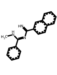 CN/C(=N\C(=N)c1ccc2ccccc2c1)c1ccccc1